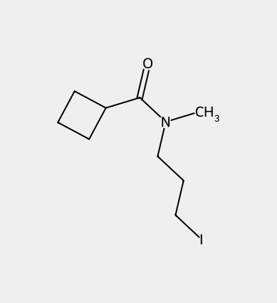 CN(CCCI)C(=O)C1CCC1